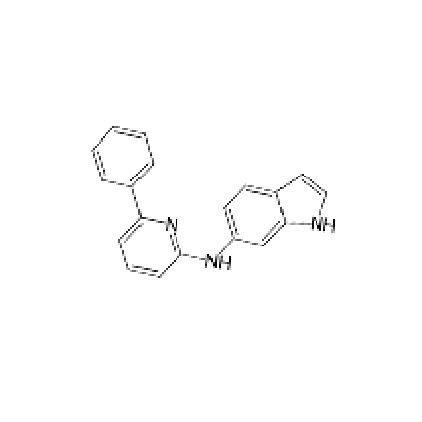 c1ccc(-c2cccc(Nc3ccc4cc[nH]c4c3)n2)cc1